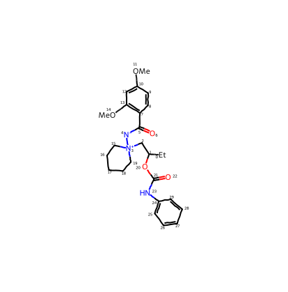 CCC(C[N+]1([N-]C(=O)c2ccc(OC)cc2OC)CCCCC1)OC(=O)Nc1ccccc1